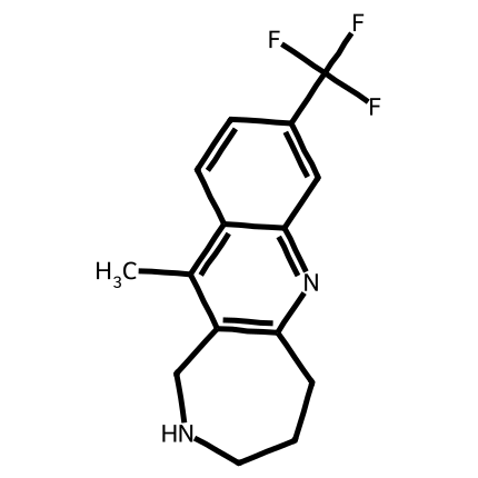 Cc1c2c(nc3cc(C(F)(F)F)ccc13)CCCNC2